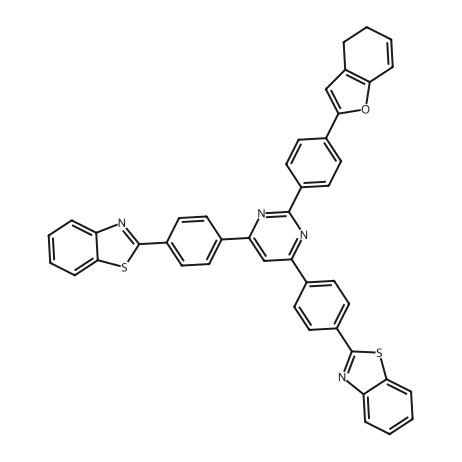 C1=Cc2oc(-c3ccc(-c4nc(-c5ccc(-c6nc7ccccc7s6)cc5)cc(-c5ccc(-c6nc7ccccc7s6)cc5)n4)cc3)cc2CC1